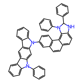 c1ccc(C2Nc3ccc4ccc5cc(-n6c7ccccc7c7cc8c9ccccc9n(-c9ccccc9)c8cc76)ccc5c4c3N2c2ccccc2)cc1